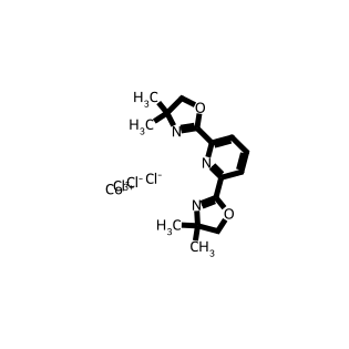 CC1(C)COC(c2cccc(C3=NC(C)(C)CO3)n2)=N1.[Cl-].[Cl-].[Cl-].[Co+3]